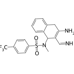 CN(C1C(C=N)=C(N)Cc2ccccc21)S(=O)(=O)c1ccc(C(F)(F)F)cc1